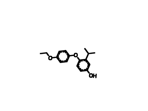 CCOc1ccc(Oc2ccc(O)cc2C(C)C)cc1